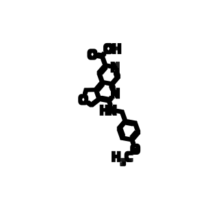 COc1ccc(CNc2nc3cnc(C(=O)O)cc3c3c2COC3)cc1